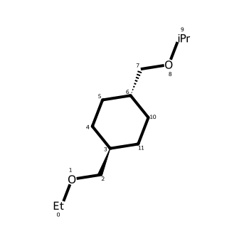 CCOC[C@H]1CC[C@H](COC(C)C)CC1